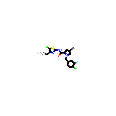 CC(C)c1cc(C(=O)Nc2nc(CC(=O)O)c(Cl)s2)n(Cc2ccc(Cl)c(F)c2)c1